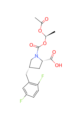 CC(=O)O[C@@H](C)OC(=O)N1C[C@@H](Cc2cc(F)ccc2F)C[C@H]1C(=O)O